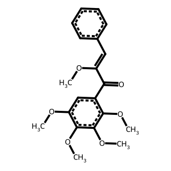 COC(=Cc1ccccc1)C(=O)c1cc(OC)c(OC)c(OC)c1OC